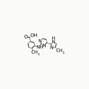 Cc1c[nH]c(-c2ccnc(Nc3cc(C(=O)O)ccc3C)n2)n1